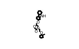 Cc1ccccc1OCCN1CC(COc2ccc3c(c2)[nH]c2ccccc23)OCC1=O